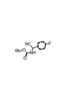 CC(C)(C)OC(=O)NC(C#N)c1ccc(F)cc1